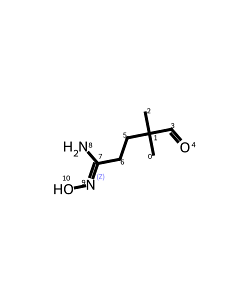 CC(C)(C=O)CC/C(N)=N/O